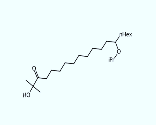 CCCCCCC(CCCCCCCCCCC(=O)C(C)(C)O)OC(C)C